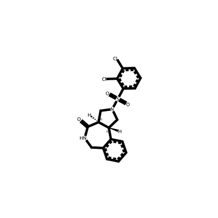 O=C1NCc2ccccc2[C@H]2CN(S(=O)(=O)c3cccc(Cl)c3Cl)C[C@H]12